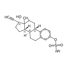 C#C[C@]1(O)CC[C@H]2[C@@H]3CCc4cc(OS(=O)(=O)CCC)ccc4[C@H]3CCC21C